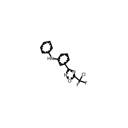 FC(F)(Cl)c1nc(-c2cccc(Nc3ccccc3)c2)no1